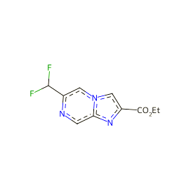 CCOC(=O)c1cn2cc(C(F)F)ncc2n1